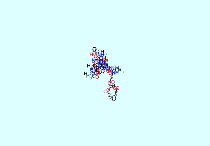 CC[C@H](C)[C@@H]([C@@H](CC(=O)N1CCC[C@H]1[C@H](OC)[C@@H](C)C(=O)N[C@H](C)[C@@H](O)c1ccccc1)OC)N(C)C(=O)[C@@H](NC(=O)[C@H](C(C)C)N(C)C(=O)OCc1ccc(NC(=O)[C@H](CCCNC(N)=O)NC(=O)[C@@H](NC(=O)CSCCC(=O)O[C@H]2CC3C[C@H](C2)OC(=O)CCSC2CCCCCC2SCCC(=O)O3)C(C)C)cc1)C(C)C